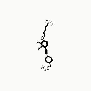 CCCCCCOc1ccc(C#C[C@H]2CC[C@H](CC)CC2)c(F)c1F